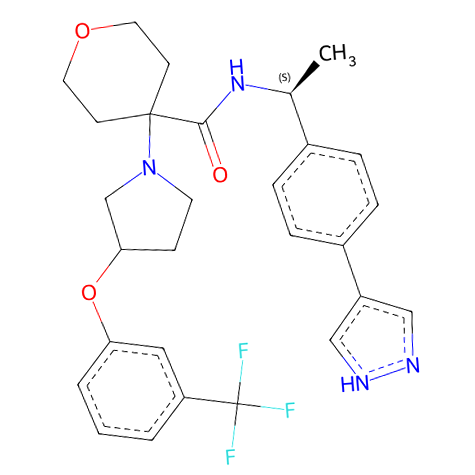 C[C@H](NC(=O)C1(N2CCC(Oc3cccc(C(F)(F)F)c3)C2)CCOCC1)c1ccc(-c2cn[nH]c2)cc1